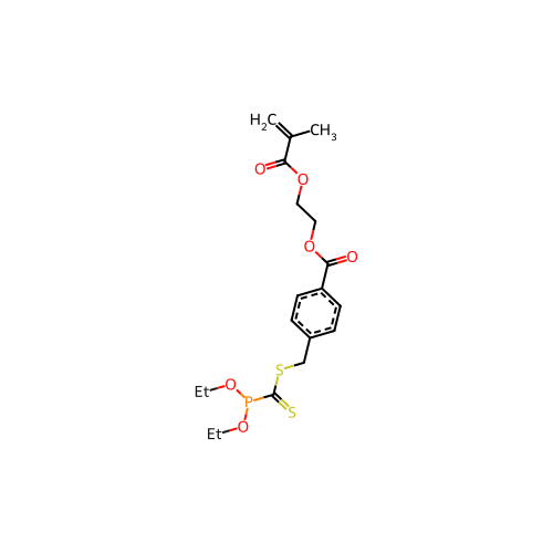 C=C(C)C(=O)OCCOC(=O)c1ccc(CSC(=S)P(OCC)OCC)cc1